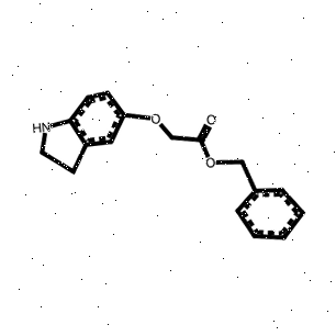 O=C(COc1ccc2c(c1)CCN2)OCc1ccccc1